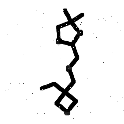 CCC1(COCC2OCC(C)(C)O2)COC1